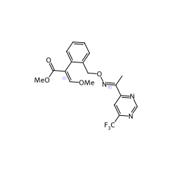 CO/C=C(/C(=O)OC)c1ccccc1CO/N=C(\C)c1cc(C(F)(F)F)ncn1